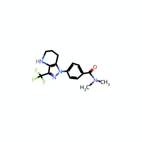 CN(C)C(=O)c1ccc(-n2nc(C(F)(F)F)c3c2CCCN3)cc1